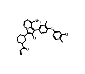 C=CC(=O)C1CCCC(c2c(Cl)c(-c3ccc(Oc4ccc(C)c(Cl)c4)c(C)c3)c3c(N)ncnn23)C1